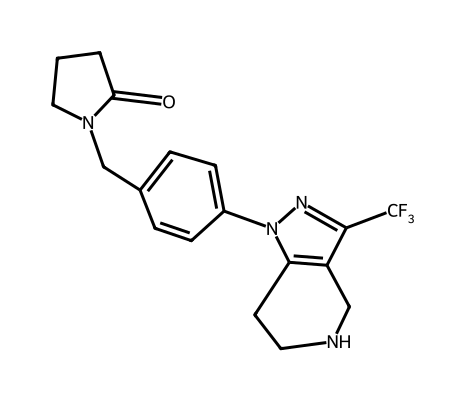 O=C1CCCN1Cc1ccc(-n2nc(C(F)(F)F)c3c2CCNC3)cc1